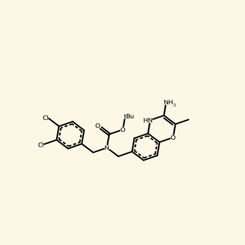 CC1=C(N)Nc2cc(CN(Cc3ccc(Cl)c(Cl)c3)C(=O)OC(C)(C)C)ccc2O1